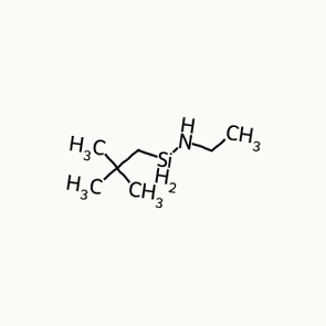 CCN[SiH2]CC(C)(C)C